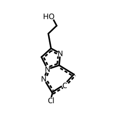 OCCc1cn2nc(Cl)ccc2n1